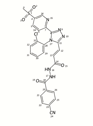 CS(=O)(=O)c1ccc(-c2nnc(C=CC(=O)NNC(=O)c3ccc(C#N)cc3)n2-c2ccccc2Cl)nc1